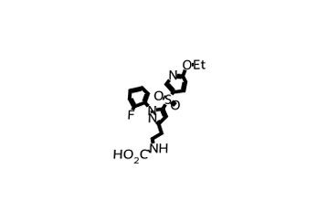 CCOc1ccc(S(=O)(=O)c2cc(CCNC(=O)O)nn2-c2ccccc2F)cn1